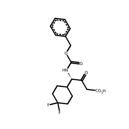 O=C(O)CC(=O)[C@@H](NC(=O)OCc1ccccc1)C1CCC(F)(F)CC1